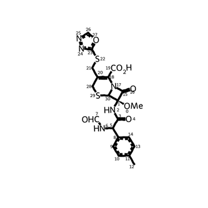 CO[C@]1(NC(=O)C(NC=O)c2ccc(C)cc2)C(=O)N2C(C(=O)O)=C(CSc3nnco3)CSC21